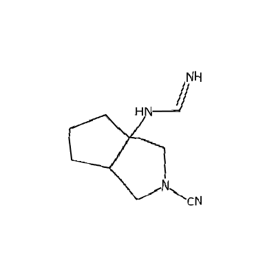 N#CN1CC2CCCC2(NC=N)C1